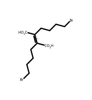 O=C(O)/C(CCCCBr)=C(\CCCCBr)C(=O)O